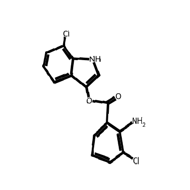 Nc1c(Cl)cccc1C(=O)Oc1c[nH]c2c(Cl)cccc12